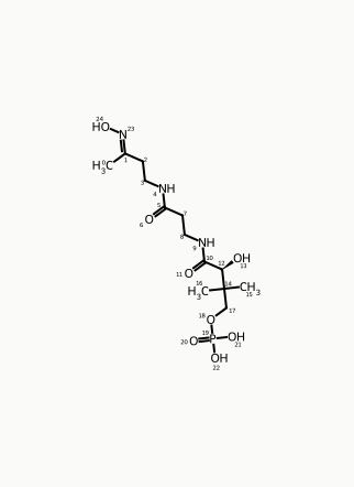 C/C(CCNC(=O)CCNC(=O)[C@@H](O)C(C)(C)COP(=O)(O)O)=N\O